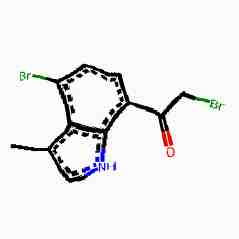 Cc1c[nH]c2c(C(=O)CBr)ccc(Br)c12